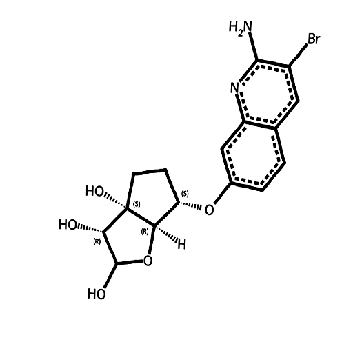 Nc1nc2cc(O[C@H]3CC[C@@]4(O)[C@@H]3OC(O)[C@@H]4O)ccc2cc1Br